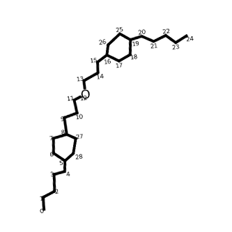 CCCCCC1CCC(CCCOCCCC2CCC(CCCCC)CC2)CC1